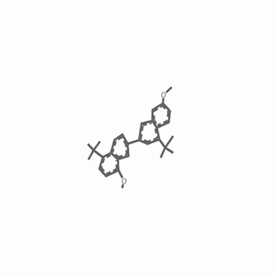 COc1ccc2c(C(C)(C)C)cc(-c3ccc4c(C(C)(C)C)ccc(OC)c4c3)cc2c1